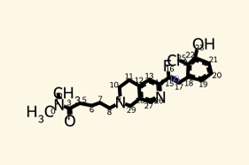 CN(C)C(=O)CCCCN1CCc2cc(/C(F)=C/c3cccc(O)c3Cl)ncc2C1